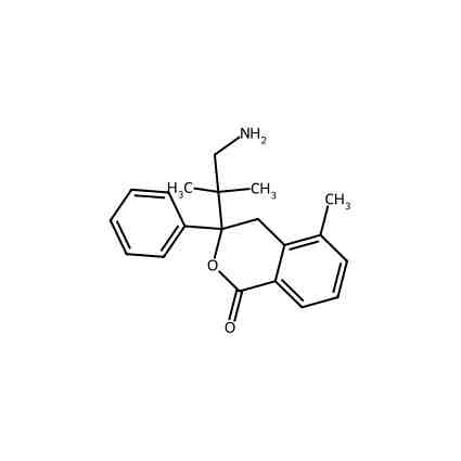 Cc1cccc2c1CC(c1ccccc1)(C(C)(C)CN)OC2=O